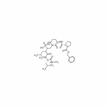 CNC(=O)[C@H](CC(C)C)NC(=O)C(CC(C)C)C(CN1C(=O)CC[C@@H](NC(=O)[C@@H]2CCCN2C(=O)OCc2ccccc2)C1=O)P(=O)(O)O